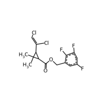 CC1(C)C(C(=O)OCc2cc(F)cc(F)c2F)C1/C(Cl)=C/Cl